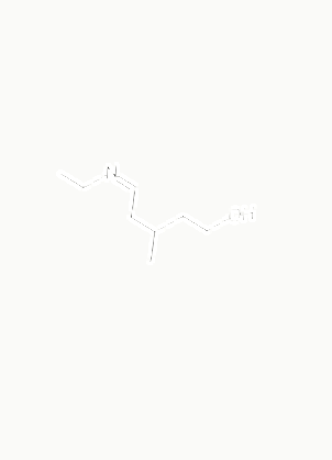 CC/N=C\CC(C)CCO